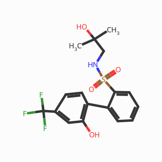 CC(C)(O)CNS(=O)(=O)c1ccccc1-c1ccc(C(F)(F)F)cc1O